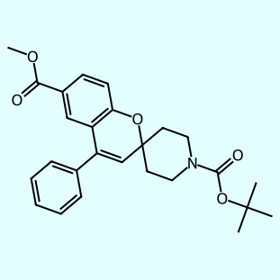 COC(=O)c1ccc2c(c1)C(c1ccccc1)=CC1(CCN(C(=O)OC(C)(C)C)CC1)O2